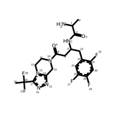 CC(N)C(=O)NC(CC(=O)N1CCn2c(nnc2C(C)(F)F)C1)Cc1cc(F)c(F)cc1F